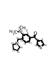 CN(C)c1cc(C(=O)c2ccsc2)ccc1CN1CCCC1